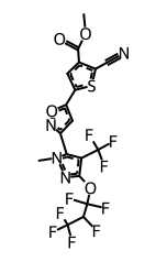 COC(=O)c1cc(-c2cc(-c3c(C(F)(F)F)c(OC(F)(F)C(F)C(F)(F)F)nn3C)no2)sc1C#N